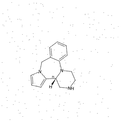 c1ccc2c(c1)Cn1cccc1[C@H]1CNCCN21